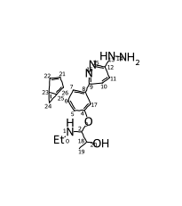 CCNC(Oc1cccc(-c2ccc(NN)nn2)c1)C(C)O.c1cc2cc-2c1